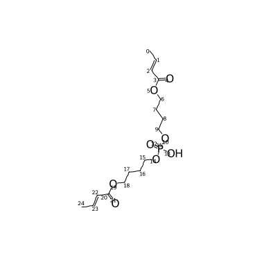 CC=CC(=O)OCCCCOP(=O)(O)OCCCCOC(=O)C=CC